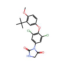 COc1ccc(Oc2c(Cl)cc(N3C(=O)CNC3=O)cc2Cl)cc1C(C)(C)C